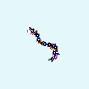 N#Cc1c(NS(=O)(=O)N2CC[C@@H](F)C2)ccc(F)c1Oc1ccc2ncn(-c3ccc(N4CCC5(CC4)CC(OC4CCN(c6ccc7c(c6)CN([C@H]6CCC(=O)NC6=O)C7=O)CC4)C5)cc3)c(=O)c2c1